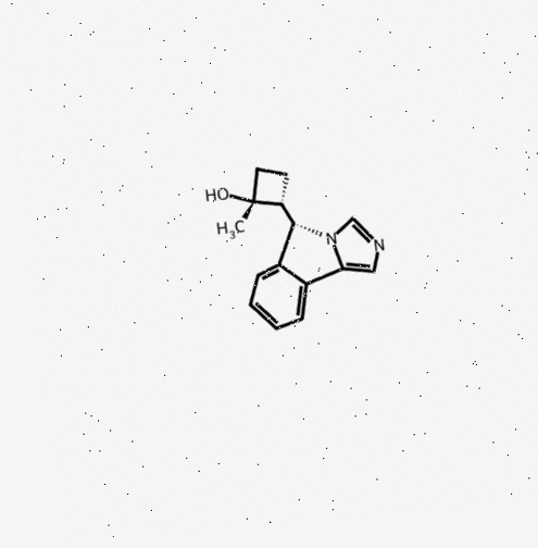 C[C@@]1(O)CC[C@@H]1[C@H]1c2ccccc2-c2cncn21